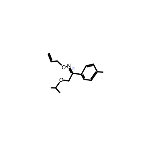 C=CCO/N=C(\COC(C)C)c1ccc(C)cc1